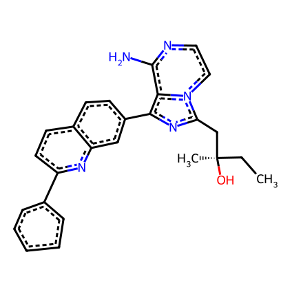 CC[C@@](C)(O)Cc1nc(-c2ccc3ccc(-c4ccccc4)nc3c2)c2c(N)nccn12